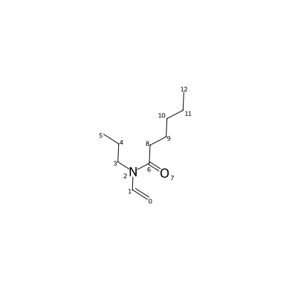 C=CN(CCC)C(=O)CCCCC